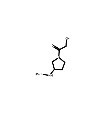 CCCC(C)NC1CCN(C(=O)CC#N)C1